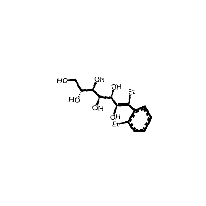 CCC(=C(O)[C@H](O)[C@@H](O)[C@H](O)[C@H](O)CO)c1ccccc1CC